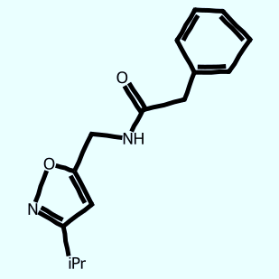 CC(C)c1cc(CNC(=O)Cc2ccccc2)on1